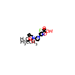 CC(C)(C)OC(=O)N(CC1CCC1)[C@@H]1CCCN(c2cnc(C3(C(=O)O)COC3)c(F)c2)C1